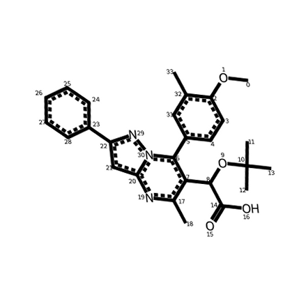 COc1ccc(-c2c(C(OC(C)(C)C)C(=O)O)c(C)nc3cc(-c4ccccc4)nn23)cc1C